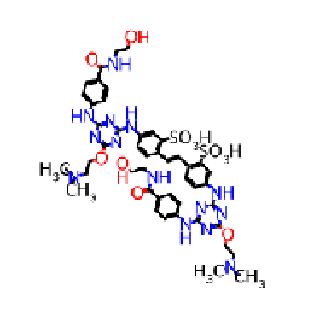 CN(C)CCOc1nc(Nc2ccc(C(=O)NCCO)cc2)nc(Nc2ccc(/C=C/c3ccc(Nc4nc(Nc5ccc(C(=O)NCCO)cc5)nc(OCCN(C)C)n4)cc3S(=O)(=O)O)c(S(=O)(=O)O)c2)n1